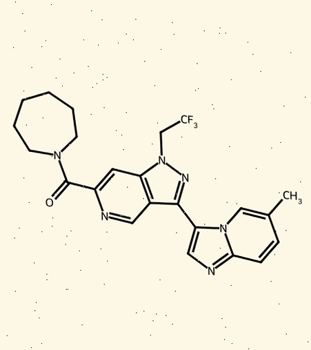 Cc1ccc2ncc(-c3nn(CC(F)(F)F)c4cc(C(=O)N5CCCCCC5)ncc34)n2c1